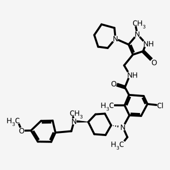 CCN(c1cc(Cl)cc(C(=O)NCc2c(N3CCCCC3)n(C)[nH]c2=O)c1C)[C@H]1CC[C@H](N(C)Cc2ccc(OC)cc2)CC1